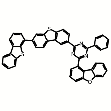 c1ccc(-c2nc(-c3ccc4sc5cc(-c6cccc7c6sc6ccccc67)ccc5c4c3)nc(-c3cccc4oc5ccccc5c34)n2)cc1